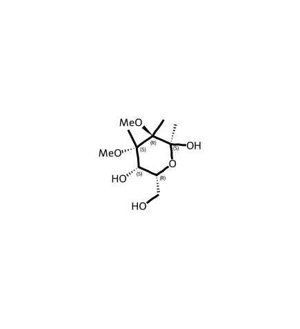 CO[C@@]1(C)[C@@](C)(O)O[C@H](CO)[C@H](O)[C@]1(C)OC